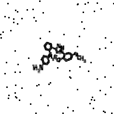 COc1ccc(OC)c(-n2cc(-c3ccccc3Sc3ccc(N)cc3)nn2)c1